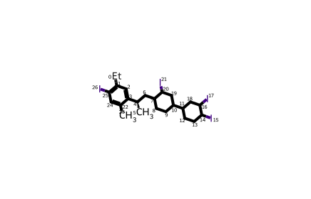 CCc1cc([C@H](C)CC2CCC(C3CCC(I)C(I)C3)CC2I)c(C)cc1I